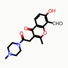 Cc1oc2c(C=O)c(O)ccc2c(=O)c1CC(=O)N1CCN(C)CC1